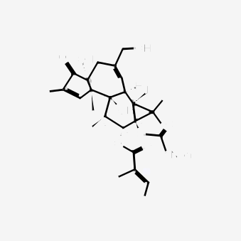 C/C=C(\C)C(=O)O[C@@H]1[C@@H](C)[C@@]2(O)[C@@H](C=C(CO)C[C@]3(O)C(=O)C(C)=C[C@@]23C)[C@@H]2C(C)(C)[C@]12OC(=O)CCCCCCCCC